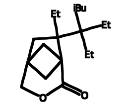 CCC(C)C(CC)(CC)C1(CC)CC23COC(=O)C1(C2)C3